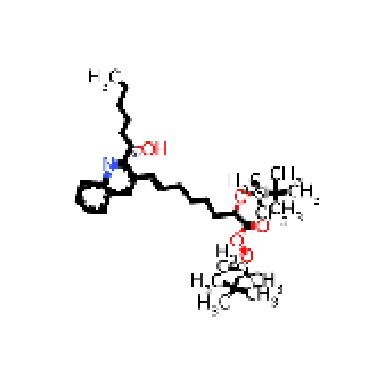 CCCCC[C@H](O)c1nc2ccccc2cc1C=CCCCCC(O[Si](C)(C)C(C)(C)C)C(=O)OO[Si](C)(C)C(C)(C)C